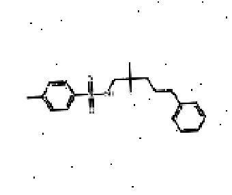 Cc1ccc(S(=O)(=O)NCC(C)(C)CCCc2ccccc2)cc1